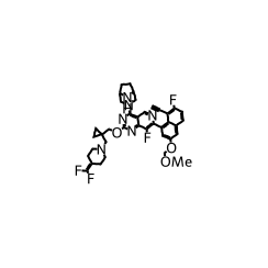 C#Cc1c(F)ccc2cc(OCOC)cc(-c3ncc4c(N5CC6CCC(C5)N6)nc(OCC5(CN6CCC(=C(F)F)CC6)CC5)nc4c3F)c12